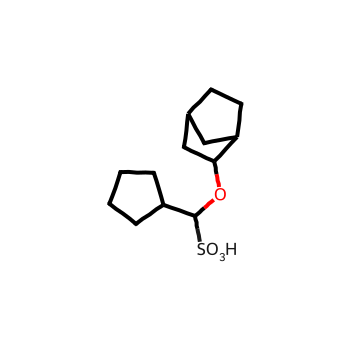 O=S(=O)(O)C(OC1CC2CCC1C2)C1CCCC1